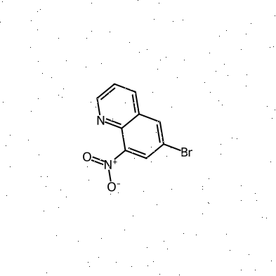 O=[N+]([O-])c1cc(Br)cc2cccnc12